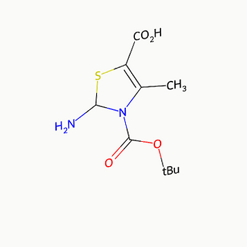 CC1=C(C(=O)O)SC(N)N1C(=O)OC(C)(C)C